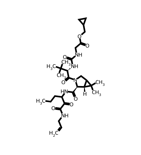 C=CCNC(=O)C(=O)C(CCC)NC(=O)[C@@H]1[C@@H]2C(CN1C(=O)[C@@H](NC(=O)NCC(=O)OCC1CC1)C(C)(C)C)C2(C)C